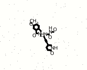 COc1ccc2c(c1)C(=O)N(C[C@@H](C#Cc1ccc(=O)[nH]c1)NC(=O)NC=O)C2